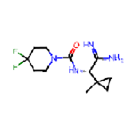 CC1([C@H](NC(=O)N2CCC(F)(F)CC2)C(=N)N)CC1